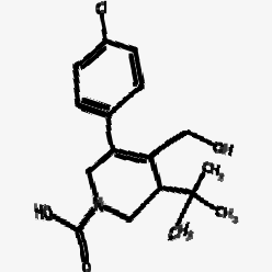 CC(C)(C)C1CN(C(=O)O)CC(c2ccc(Cl)cc2)=C1CO